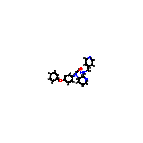 O=CN(c1ccc(Oc2ccccc2)cc1)c1cccnc1NCc1ccncc1